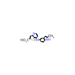 Cc1cc2cc(Nc3ccnc4cc(C(=O)O)sc34)ccc2[nH]1